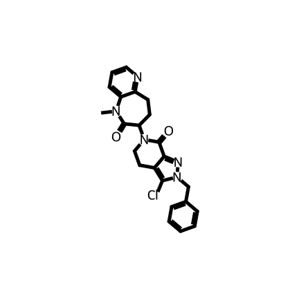 CN1C(=O)C(N2CCc3c(nn(Cc4ccccc4)c3Cl)C2=O)CCc2ncccc21